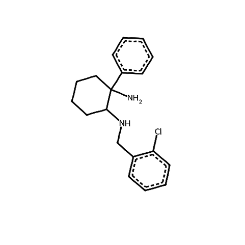 NC1(c2ccccc2)CCCCC1NCc1ccccc1Cl